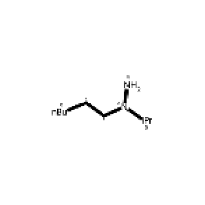 CCCCCCN(N)C(C)C